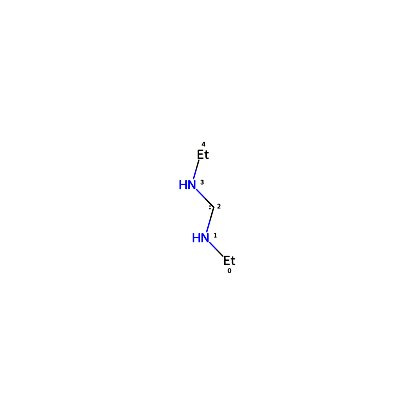 [CH2]CN[C]NCC